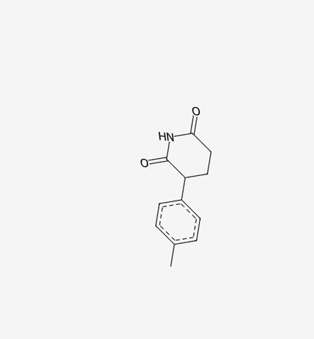 Cc1ccc(C2CCC(=O)NC2=O)cc1